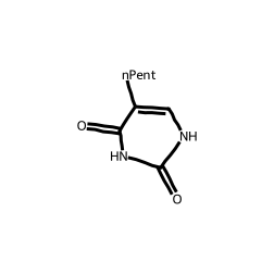 CCCCCc1c[nH]c(=O)[nH]c1=O